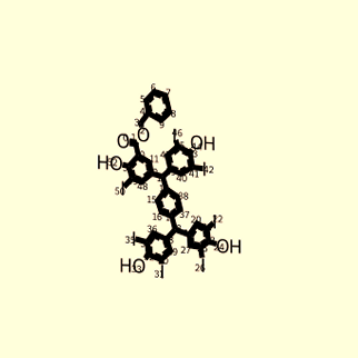 O=C(OCc1ccccc1)c1cc(C(c2ccc(C(c3cc(I)c(O)c(I)c3)c3cc(I)c(O)c(I)c3)cc2)c2cc(I)c(O)c(I)c2)cc(I)c1O